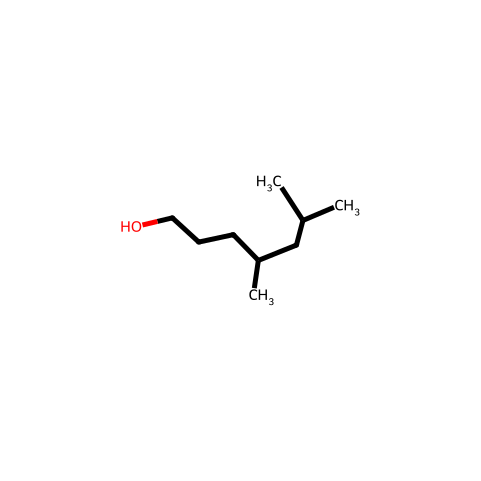 CC(C)CC(C)CCCO